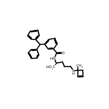 CC1(NCCC[C@H](NC(=O)c2cccc(C(c3ccccc3)c3ccccc3)c2)C(=O)O)C=CC1